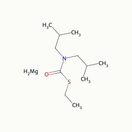 CCSC(=O)N(CC(C)C)CC(C)C.[MgH2]